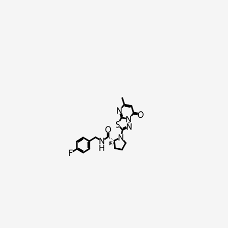 Cc1cc(=O)n2nc(N3CCC[C@@H]3C(=O)NCc3ccc(F)cc3)sc2n1